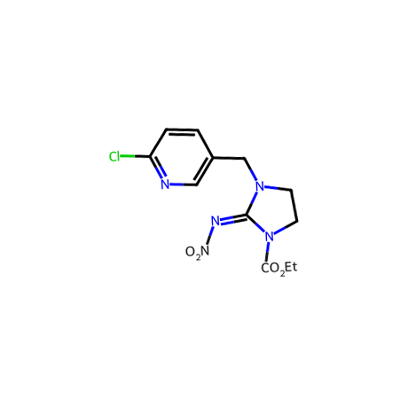 CCOC(=O)N1CCN(Cc2ccc(Cl)nc2)C1=N[N+](=O)[O-]